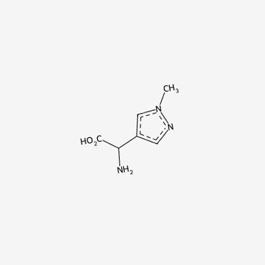 Cn1cc(C(N)C(=O)O)cn1